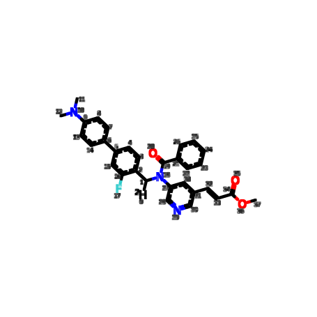 [2H]C(c1ccc(-c2ccc(N(C)C)cc2)cc1F)N(C(=O)c1ccccc1)c1cncc(/C=C/C(=O)OC)c1